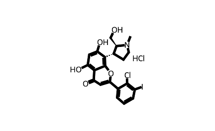 CN1CC[C@H](c2c(O)cc(O)c3c(=O)cc(-c4cccc(I)c4Cl)oc23)[C@H]1CO.Cl